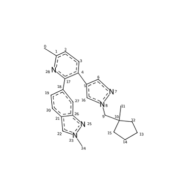 Cc1ccc(-c2cnn(CC3(C)CCCC3)c2)c(-c2ccc3cn(C)nc3c2)n1